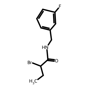 CCC(Br)C(=O)NCc1cccc(F)c1